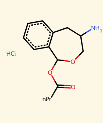 CCCC(=O)OC1OCC(N)Cc2ccccc21.Cl